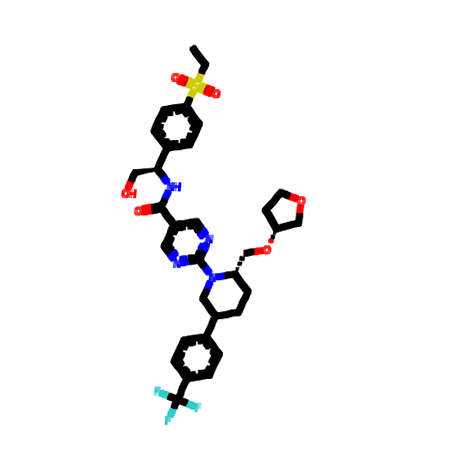 CCS(=O)(=O)c1ccc([C@H](CO)NC(=O)c2cnc(N3CC(c4ccc(C(F)(F)F)cc4)CC[C@H]3CO[C@@H]3CCOC3)nc2)cc1